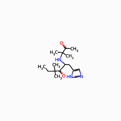 CCC(C)(C)C(=O)C(Cc1cnc[nH]1)NC(C)(C)C(C)=O